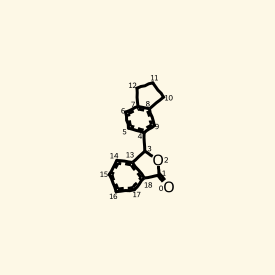 O=C1OC(c2ccc3c(c2)CCC3)c2ccccc21